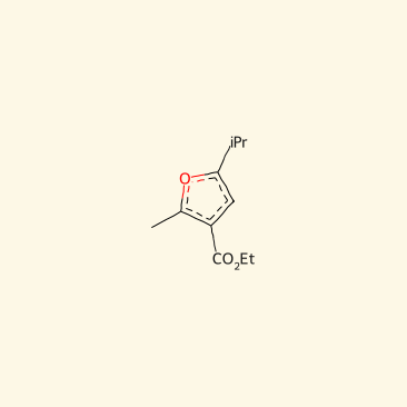 CCOC(=O)c1cc(C(C)C)oc1C